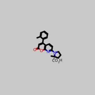 Cc1ccccc1-c1cc(=O)oc2nc(N3CCC[C@]3(C)C(=O)O)ccc12